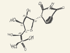 O=c1ccn([C@@H]2O[C@H]([C@H](O)P(=O)(O)O)[C@@H](O)[C@H]2O)c(=O)[nH]1